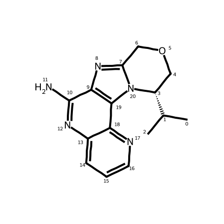 CC(C)[C@H]1COCc2nc3c(N)nc4cccnc4c3n21